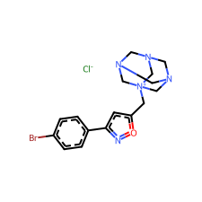 Brc1ccc(-c2cc(C[N+]34CN5CN(CN(C5)C3)C4)on2)cc1.[Cl-]